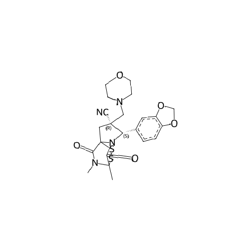 CN1C(=O)C23C[C@@](C#N)(CN4CCOCC4)[C@H](c4ccc5c(c4)OCO5)N2C(=O)C1(C)SS3